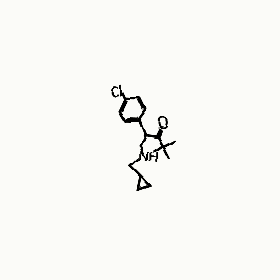 CC(C)(C)C(=O)C(CNCC1CC1)c1ccc(Cl)cc1